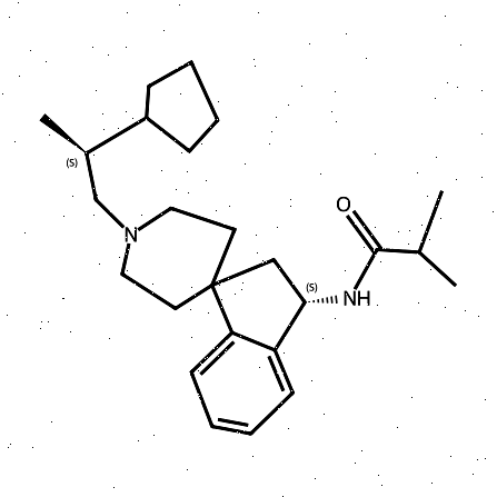 CC(C)C(=O)N[C@H]1CC2(CCN(C[C@@H](C)C3CCCC3)CC2)c2ccccc21